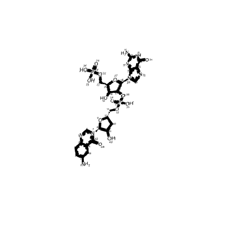 Nc1ccc2ncn([C@@H]3O[C@H](COP(=O)(O)OC4C(O)[C@@H](COP(=O)(O)O)O[C@H]4n4cnc5c(=O)[nH]c(N)nc54)CC3O)c(=O)c2c1